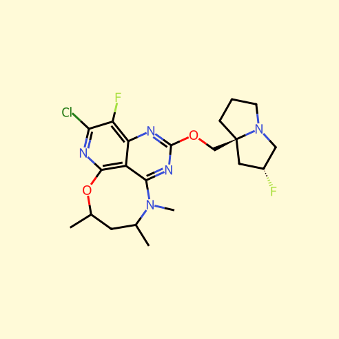 CC1CC(C)N(C)c2nc(OC[C@@]34CCCN3C[C@H](F)C4)nc3c(F)c(Cl)nc(c23)O1